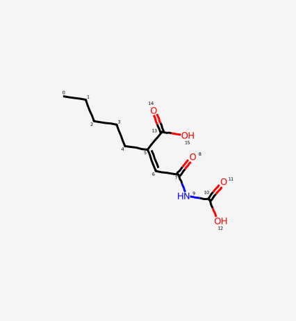 CCCCCC(=CC(=O)NC(=O)O)C(=O)O